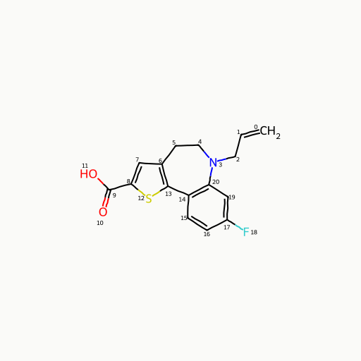 C=CCN1CCc2cc(C(=O)O)sc2-c2ccc(F)cc21